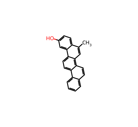 Cc1cc2c(ccc3c4ccccc4ccc32)c2cc(O)ccc12